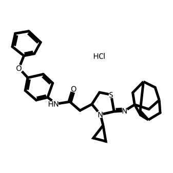 Cl.O=C(CC1CSC(=NC23CC4CC(CC(C4)C2)C3)N1C1CC1)Nc1ccc(Oc2ccccc2)cc1